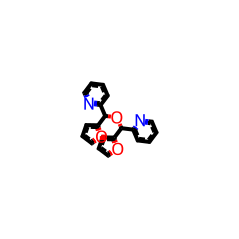 c1ccc(C(OC(c2ccccn2)c2ccco2)c2ccco2)nc1